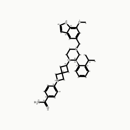 COc1cc(CN2CCN(C3CC4(C3)CN(c3ccc(C(N)=O)cc3)C4)[C@H](c3ccccc3C(C)C)C2)cc2ccoc12